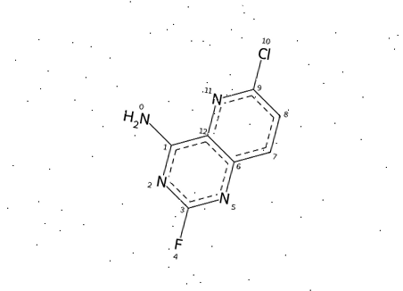 Nc1nc(F)nc2ccc(Cl)nc12